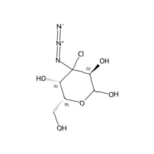 [N-]=[N+]=NC1(Cl)[C@@H](O)C(O)O[C@H](CO)[C@@H]1O